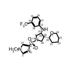 Cn1cnc(S(=O)(=O)N2C[C@@H](Nc3cccc(C(F)(F)F)c3)[C@H](C3CCCCO3)C2)c1